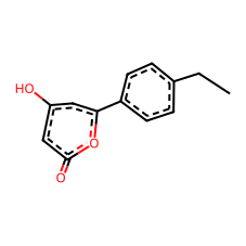 CCc1ccc(-c2cc(O)cc(=O)o2)cc1